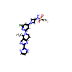 CC1c2cnc(-c3ncccn3)nc2CCN1c1cc(N2CC(NS(C)(=O)=O)C2)cc(F)n1